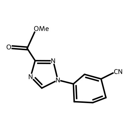 COC(=O)c1ncn(-c2cccc(C#N)c2)n1